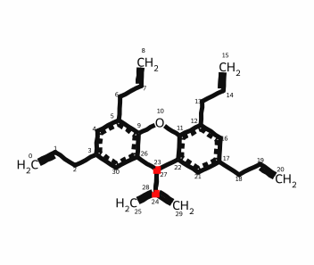 C=CCc1cc(CC=C)c(Oc2c(CC=C)cc(CC=C)cc2CC=C)c(CC=C)c1